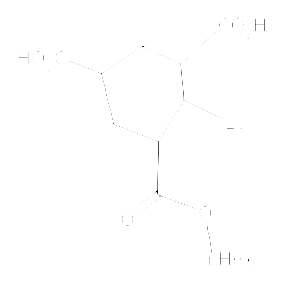 CCCCCCOC(=O)C1CC(C(=O)O)CC(C(=O)O)C1CC